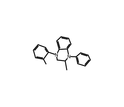 Cc1ccccc1N1CC(C)N(c2ccccc2)c2ccccc21